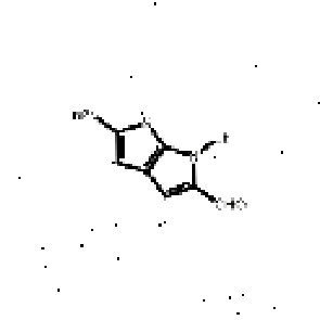 CCCc1cc2cc(C=O)n(CC)c2s1